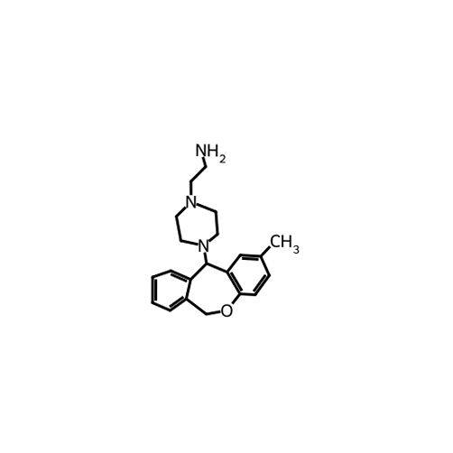 Cc1ccc2c(c1)C(N1CCN(CCN)CC1)c1ccccc1CO2